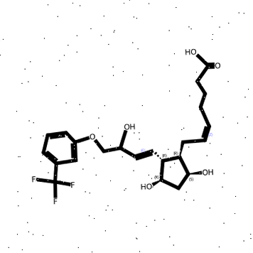 O=C(O)CCC/C=C\C[C@@H]1[C@@H](/C=C/C(O)COc2cccc(C(F)(F)F)c2)[C@H](O)C[C@@H]1O